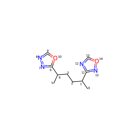 CC(CCC(C)c1nnco1)c1ncon1